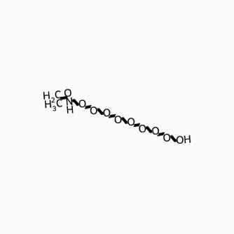 C=C(C)C(=O)NCCOCCOCCOCCOCCOCCOCCOCCOCCO